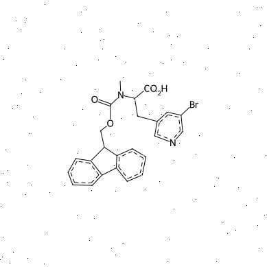 CN(C(=O)OCC1c2ccccc2-c2ccccc21)C(Cc1cncc(Br)c1)C(=O)O